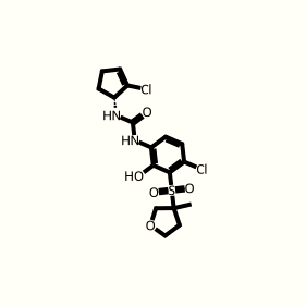 CC1(S(=O)(=O)c2c(Cl)ccc(NC(=O)N[C@@H]3CCC=C3Cl)c2O)CCOC1